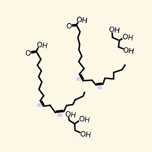 CCCCC/C=C\C/C=C\CCCCCCCC(=O)O.CCCCC/C=C\C/C=C\CCCCCCCC(=O)O.OCC(O)CO.OCC(O)CO